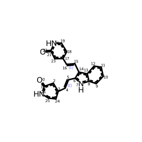 O=c1cc(/C=C/c2[nH]c3ccccc3c2/C=C/c2cc[nH]c(=O)c2)cc[nH]1